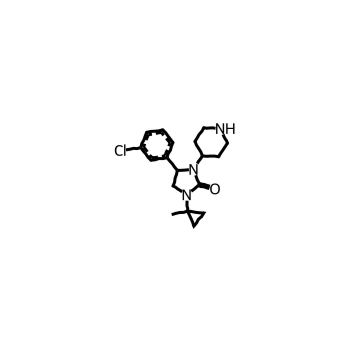 CC1(N2CC(c3cccc(Cl)c3)N(C3CCNCC3)C2=O)CC1